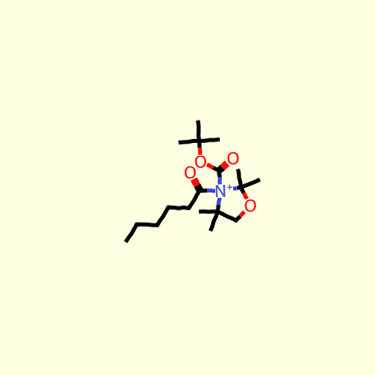 CCCCCC(=O)[N+]1(C(=O)OC(C)(C)C)C(C)(C)COC1(C)C